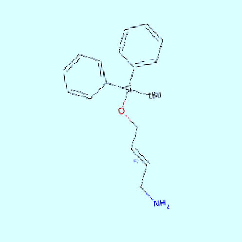 CC(C)(C)[Si](OC/C=C/CN)(c1ccccc1)c1ccccc1